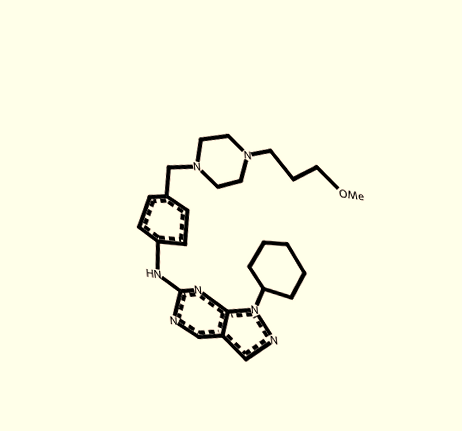 COCCCN1CCN(Cc2ccc(Nc3ncc4cnn(C5CCCCC5)c4n3)cc2)CC1